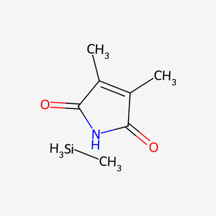 CC1=C(C)C(=O)NC1=O.C[SiH3]